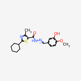 COc1ccc(/C=N/NC(=O)c2sc(C3CCCCC3)nc2C)cc1O